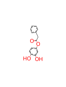 O=C(Cc1ccccc1)Oc1ccc(O)c(O)c1